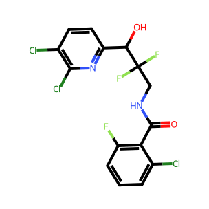 O=C(NCC(F)(F)C(O)c1ccc(Cl)c(Cl)n1)c1c(F)cccc1Cl